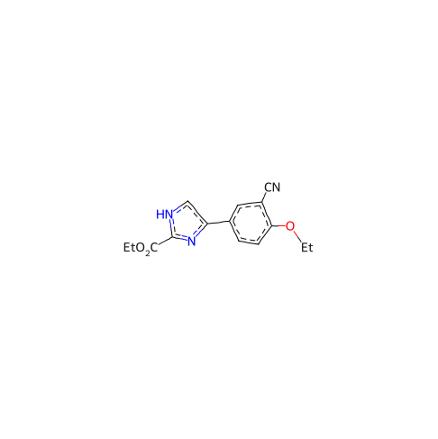 CCOC(=O)c1nc(-c2ccc(OCC)c(C#N)c2)c[nH]1